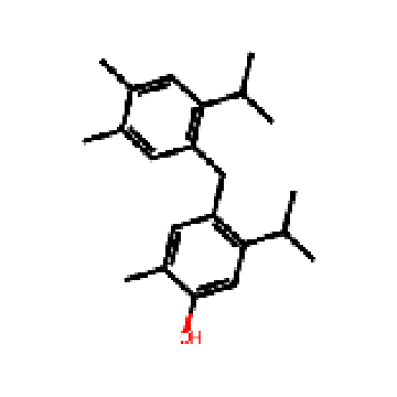 Cc1cc(Cc2cc(C)c(O)cc2C(C)C)c(C(C)C)cc1C